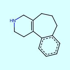 c1ccc2c(c1)CCCC1=C2CCNC1